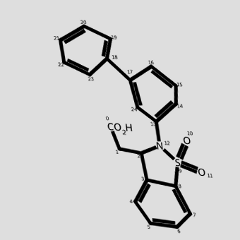 O=C(O)CC1c2ccccc2S(=O)(=O)N1c1cccc(-c2ccccc2)c1